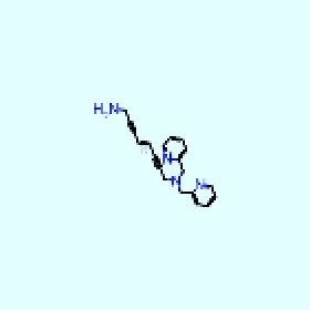 NCC#C/C=C/C#CCN(Cc1ccccn1)Cc1ccccn1